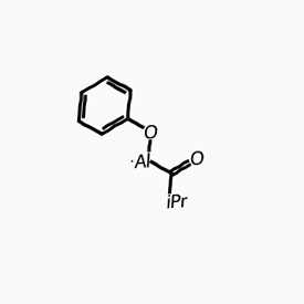 CC(C)[C](=O)[Al][O]c1ccccc1